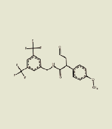 COc1ccc(C(CC=O)C(=O)NCc2cc(C(F)(F)F)cc(C(F)(F)F)c2)cc1